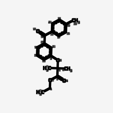 CCOC(=O)C(C)(C)Oc1cccc(C(=O)c2ccc(C)cc2)c1